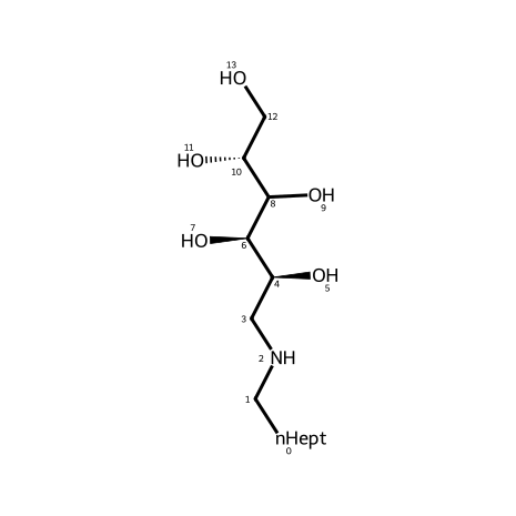 CCCCCCCCNC[C@H](O)[C@@H](O)C(O)[C@H](O)CO